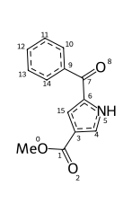 COC(=O)c1c[nH]c(C(=O)c2ccccc2)c1